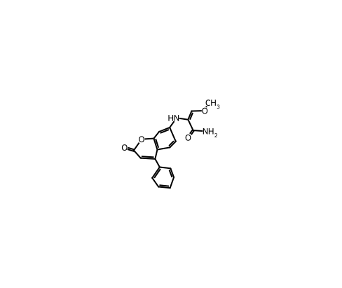 COC=C(Nc1ccc2c(-c3ccccc3)cc(=O)oc2c1)C(N)=O